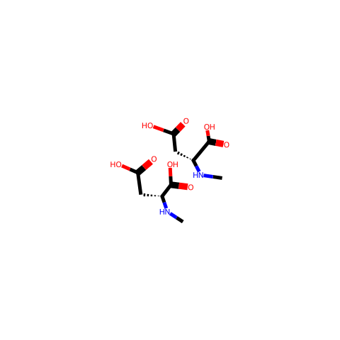 CN[C@H](CC(=O)O)C(=O)O.CN[C@H](CC(=O)O)C(=O)O